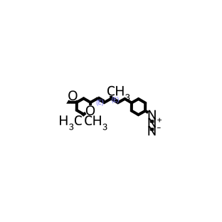 CC(/C=C/C1CC2(CO2)CC(C)(C)O1)=C\CC1CCC(N=[N+]=[N-])CC1